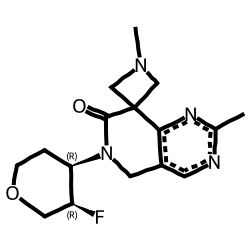 Cc1ncc2c(n1)C1(CN(C)C1)C(=O)N([C@@H]1CCOC[C@@H]1F)C2